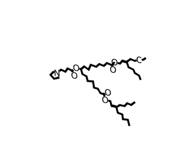 CCCCCC(=CCOC(=O)CCCCCCCC(CCCCCCCC(=O)OCC=C(CCCCC)CCCCC)OC(=O)CCCN1CCCC1)CCCCC